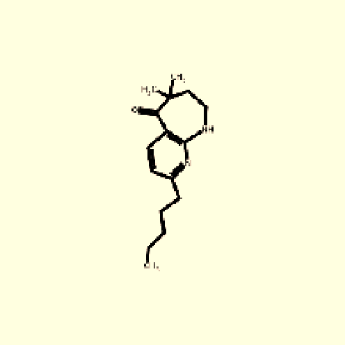 CCCCCc1ccc2c(n1)NCCC(C)(C)C2=O